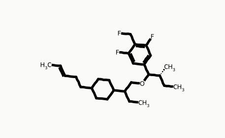 C/C=C/CCC1CCC(C(CC)COC(c2cc(F)c(CF)c(F)c2)[C@H](C)CC)CC1